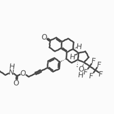 C=CCNC(=O)OCC#Cc1ccc([C@H]2C[C@@]3(C)[C@@H](CC[C@@]3(O)C(F)(F)C(F)(F)F)[C@@H]3CCC4=CC(=O)CCC4=C32)cc1